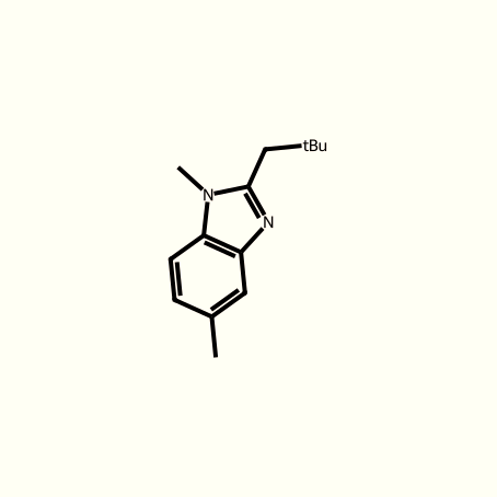 Cc1ccc2c(c1)nc(CC(C)(C)C)n2C